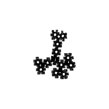 c1ccc2c(c1)-c1ccccc1C2c1ccc(-c2ccc(-c3nc(-c4ccc(-n5c6ccccc6c6ccccc65)cc4)cc(-c4cc(-n5c6ccccc6c6ccccc65)cc(-n5c6ccccc6c6ccccc65)c4)n3)cc2)cc1